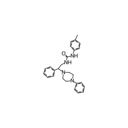 Cc1ccc(NC(=O)NCC(c2ccccc2)N2CCN(c3ccccc3)CC2)cc1